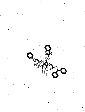 C=C(C)C1(NC(=O)COc2ccccc2)C(=O)N(CC(=O)OC(c2ccccc2)c2ccccc2)C1SSc1nc2ccccc2s1